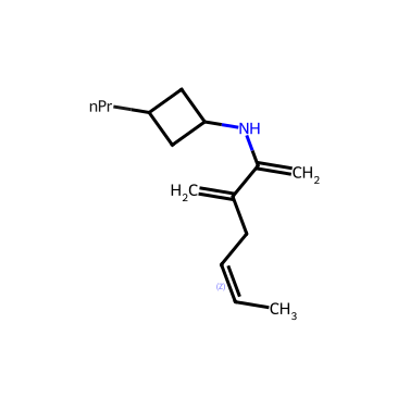 C=C(C/C=C\C)C(=C)NC1CC(CCC)C1